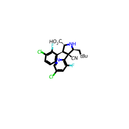 CC(C)(C)C[C@@H]1N[C@@H](C(=O)O)[C@H](c2cccc(Cl)c2F)[C@@]1(C#N)c1ncc(Cl)cc1F